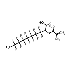 C=C(C)C(=O)OC(C(C)O)C(F)(F)C(F)(F)C(F)(F)C(F)(F)C(F)(F)C(F)(F)C(F)(F)C(F)(F)F